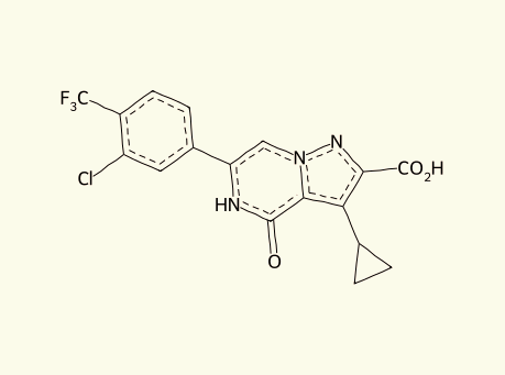 O=C(O)c1nn2cc(-c3ccc(C(F)(F)F)c(Cl)c3)[nH]c(=O)c2c1C1CC1